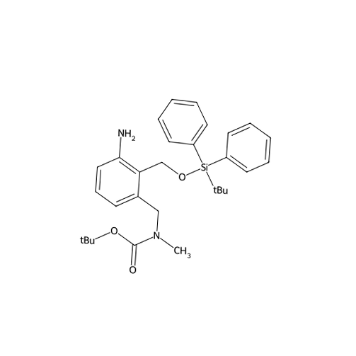 CN(Cc1cccc(N)c1CO[Si](c1ccccc1)(c1ccccc1)C(C)(C)C)C(=O)OC(C)(C)C